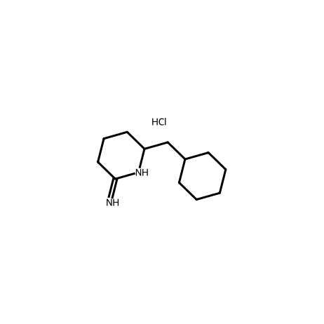 Cl.N=C1CCCC(CC2CCCCC2)N1